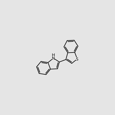 c1ccc2[nH]c(-c3csc4ccccc34)cc2c1